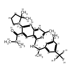 Cc1nc(N[C@H](C)c2cc(N)cc(C(F)(F)F)c2)c2cc(C(=O)N(C)C)c(N3CCCC3(C)C)nc2n1